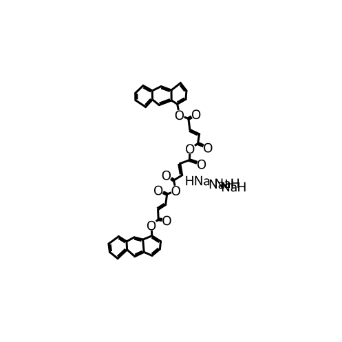 O=C(/C=C/C(=O)OC(=O)/C=C/C(=O)Oc1cccc2cc3ccccc3cc12)OC(=O)/C=C/C(=O)Oc1cccc2cc3ccccc3cc12.[NaH].[NaH].[NaH].[NaH]